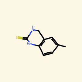 Cc1ccc2c(c1)CNC(=S)N2